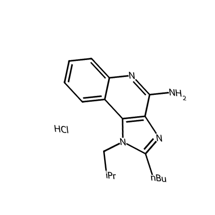 CCCCc1nc2c(N)nc3ccccc3c2n1CC(C)C.Cl